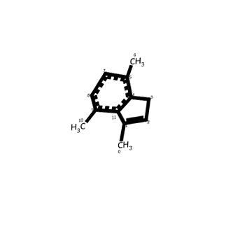 CC1=CCc2c(C)ccc(C)c21